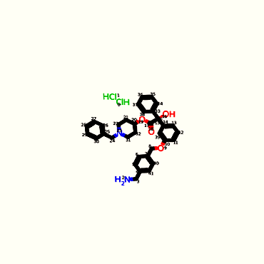 Cl.Cl.NCc1ccc(COc2cccc([C@](O)(C(=O)OC3CCN(Cc4ccccc4)CC3)c3ccccc3)c2)cc1